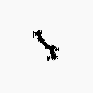 CCC1(C(=O)NC(C)C)CCN(c2ccc(-c3cc(-c4cnn(C5CC6(C5)CN(C5CCN(c7ccc(NC8CCC(=O)NC8=O)cc7F)CC5)C6)c4)cn4ncc(C#N)c34)cn2)CC1